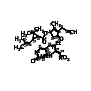 C#CCC1=C(C)[C@@H](OC(=O)C2C(C=C(C)C)C2(C)C)CC1=O.CCN(Cc1ccc(Cl)nc1)/C(=C/[N+](=O)[O-])NC